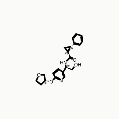 O=C(N[C@@H](CO)c1ccc(O[C@@H]2CCOC2)nc1)[C@H]1C[C@@H]1c1ccccc1